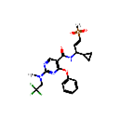 CN(CC(F)(F)F)c1ncc(C(=O)NC(C=CS(C)(=O)=O)C2CC2)c(Oc2ccccc2)n1